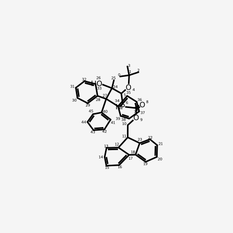 CC(C)(C)OC(PC(=O)OCC1c2ccccc2-c2ccccc21)C(C)(O)C(c1ccccc1)(c1ccccc1)c1ccccc1